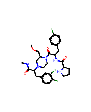 CNC(=O)C(Cc1ccc(Cl)c(Cl)c1)N1CCN(C(=O)C(Cc2ccc(F)cc2)NC(=O)C2CCCN2)C(COC)C1